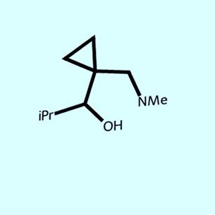 CNCC1(C(O)C(C)C)CC1